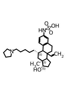 C=CC12CCc3cc(NS(=O)(=O)O)ccc3C1[C@@H](CCCCCN1CCCC1)C[C@@]1(C)C2CC[C@@H]1O